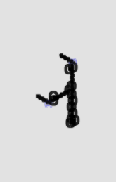 CCCCCC/C=C\COC(=O)CCCCCCCOCC(COCCOCCOCCOCCOS(C)(=O)=O)OCCCCCCCC(=O)OC/C=C\CCCCCC